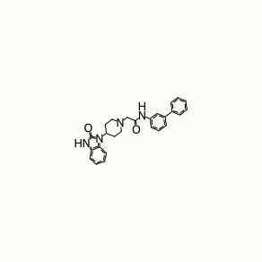 O=C(CN1CCC(n2c(=O)[nH]c3ccccc32)CC1)Nc1cccc(-c2ccccc2)c1